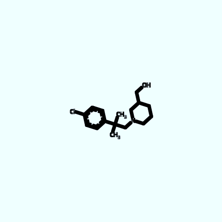 CC(C)(CN1CCCC(CO)C1)c1ccc(Cl)cc1